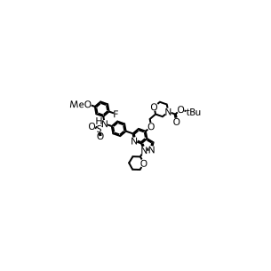 COc1ccc(F)c(N(c2ccc(-c3cc(OCC4CN(C(=O)OC(C)(C)C)CCO4)c4cnn(C5CCCCO5)c4n3)cc2)[SH](=O)=O)c1